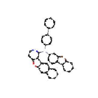 c1ccc(-c2ccc(N(c3ccc4c(c3)sc3ccccc34)c3nccc4oc5cc6ccccc6cc5c34)cc2)cc1